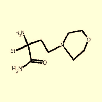 CCC(N)(CCN1CCOCC1)C(N)=O